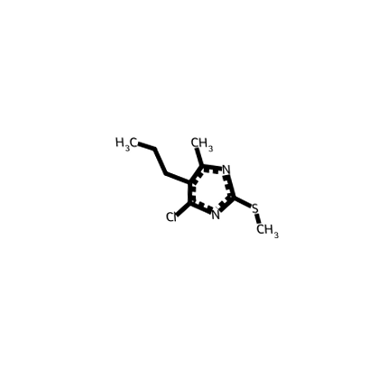 CCCc1c(C)nc(SC)nc1Cl